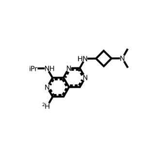 [2H]c1cc2cnc(NC3CC(N(C)C)C3)nc2c(NC(C)C)n1